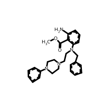 COC(=O)c1c(N)cccc1N(CCN1CCN(c2ccccc2)CC1)Cc1ccccc1